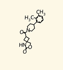 Cc1cccc(C2CCN(C(=O)C3CC4(COC(=O)N4)C3)CC2)c1C